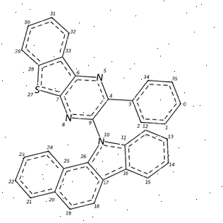 c1ccc(-c2nc3c(nc2-n2c4ccccc4c4ccc5ccccc5c42)sc2ccccc23)cc1